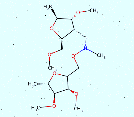 B[C@@H]1O[C@H](COC)[C@@H](CN(C)OCC2O[C@@H](C)[C@H](OC)[C@@H]2OC)[C@H]1OC